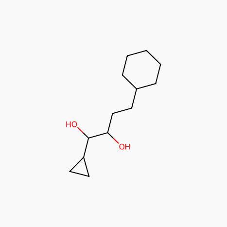 OC(CCC1CCCCC1)C(O)C1CC1